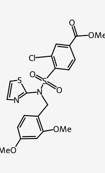 COC(=O)c1ccc(S(=O)(=O)N(Cc2ccc(OC)cc2OC)c2nccs2)c(Cl)c1